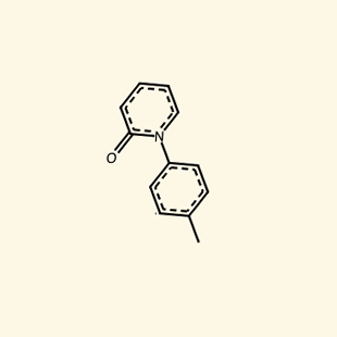 Cc1[c]cc(-n2ccccc2=O)cc1